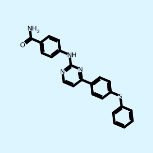 NC(=O)c1ccc(Nc2nccc(-c3ccc(Sc4ccccc4)cc3)n2)cc1